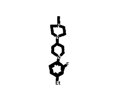 CCc1ccc(N2CCC(N3CCN(C)CC3)CC2)c(F)c1